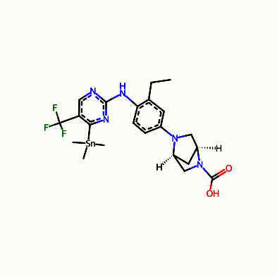 CCc1cc(N2C[C@@H]3C[C@H]2CN3C(=O)O)ccc1Nc1ncc(C(F)(F)F)[c]([Sn]([CH3])([CH3])[CH3])n1